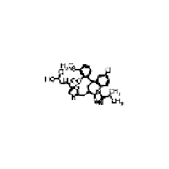 COc1cccc(C2CC(Cc3ncc(CCC(=O)O)s3)c3nnc(C(C)C)n3-c3ccc(Cl)cc32)c1OC